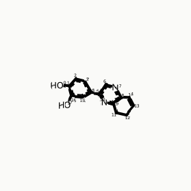 Oc1ccc(-c2cnc3c(n2)CCC=C3)cc1O